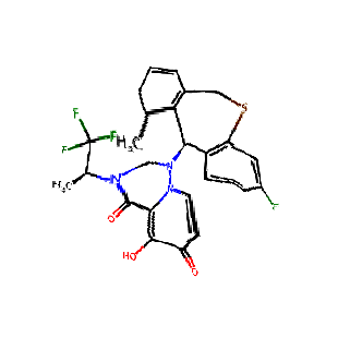 CC1CC=CC2=C1[C@H](N1CN([C@@H](C)C(F)(F)F)C(=O)c3c(O)c(=O)ccn31)c1ccc(F)cc1SC2